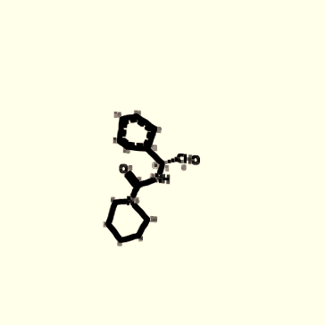 O=C[C@H](NC(=O)N1CCCCC1)c1ccccc1